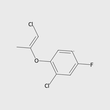 CC(=CCl)Oc1c[c]c(F)cc1Cl